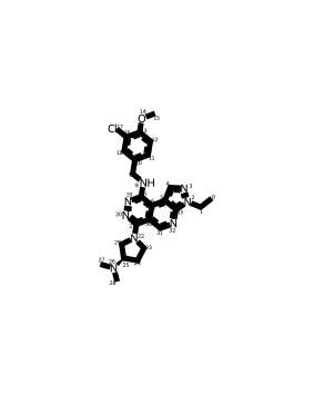 CCn1ncc2c3c(NCc4ccc(OC)c(Cl)c4)nnc(N4CC[C@@H](N(C)C)C4)c3cnc21